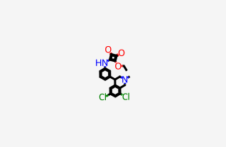 CCOc1c(Nc2cccc(C3CN(C)Cc4c(Cl)cc(Cl)cc43)c2)c(=O)c1=O